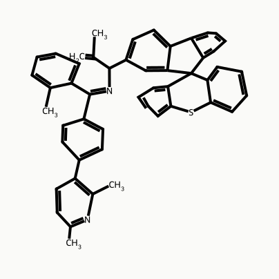 C=C(C)C(/N=C(/c1ccc(-c2ccc(C)nc2C)cc1)c1ccccc1C)c1ccc2c(c1)C1(c3ccccc3Sc3ccccc31)c1ccccc1-2